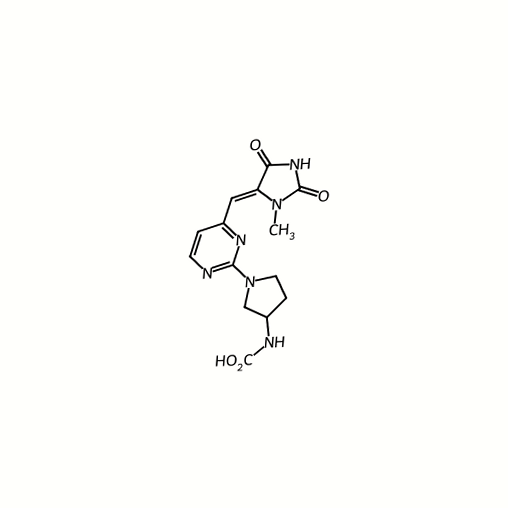 CN1C(=O)NC(=O)C1=Cc1ccnc(N2CCC(NC(=O)O)C2)n1